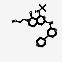 CC(C)(C)Nc1nc(Nc2cc(-c3ccncc3)ccn2)cc2ccn(CCO)c(=O)c12